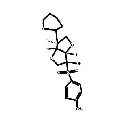 Cc1ccc(S(=O)(=O)[C@]2(O)CO[C@H]3[C@@H]2OC[C@]3(O)C2CCCCO2)cc1